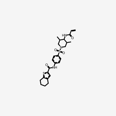 C=CC(=O)NC1C(C)CN(S(=O)(=O)c2ccc(NC(=O)c3cc4c(s3)CCCC4)cc2)CC1C